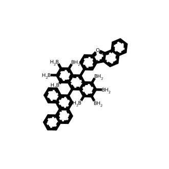 Bc1c(B)c(B)c2c(-c3cc4ccc5ccccc5c4c4ccccc34)c3c(B)c(B)c(B)c(B)c3c(-c3ccc4oc5c6ccccc6ccc5c4c3)c2c1B